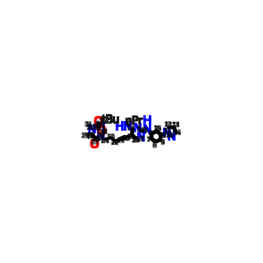 CCCNc1nc(Nc2cccc(-n3cccn3)c2)ncc1C#CCCCNC(=O)[C@H](C)N(C)C(=O)OC(C)(C)C